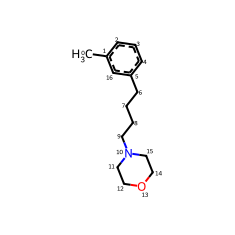 Cc1cccc(CCCCN2CCOCC2)c1